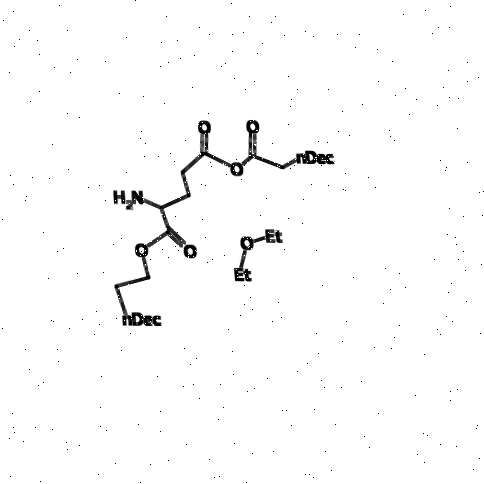 CCCCCCCCCCCCOC(=O)C(N)CCC(=O)OC(=O)CCCCCCCCCCC.CCOCC